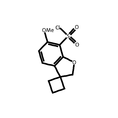 COc1ccc2c(c1S(=O)(=O)Cl)OCC21CCC1